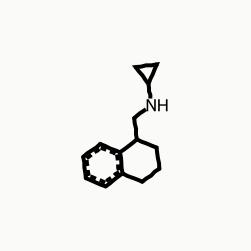 c1ccc2c(c1)CCCC2CNC1CC1